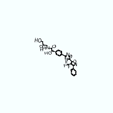 O=C(NC[C@H](O)CO)[C@@H](O)c1ccc(-c2noc(-c3onc(-c4ccccc4)c3C(F)(F)F)n2)cc1